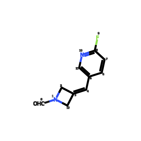 O=CN1CC(=Cc2ccc(F)nc2)C1